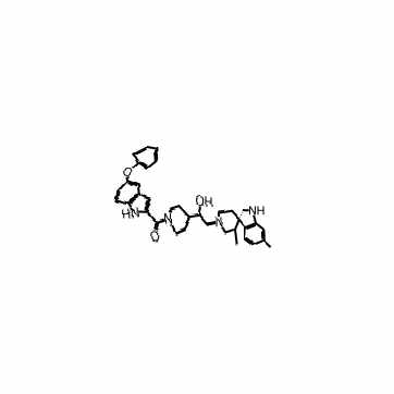 Cc1ccc2c(c1)NC[C@]21CCN(CC(O)C2CCN(C(=O)c3cc4cc(Oc5ccccc5)ccc4[nH]3)CC2)CC1C